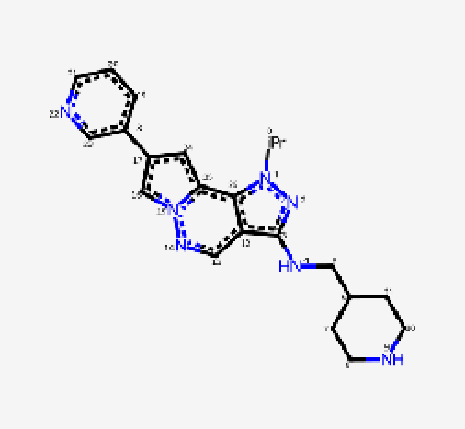 CC(C)n1nc(NCC2CCNCC2)c2cnn3cc(-c4cccnc4)cc3c21